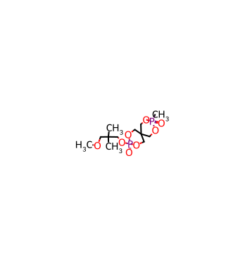 COCC(C)(C)COP1(=O)OCC2(COP(C)(=O)OC2)CO1